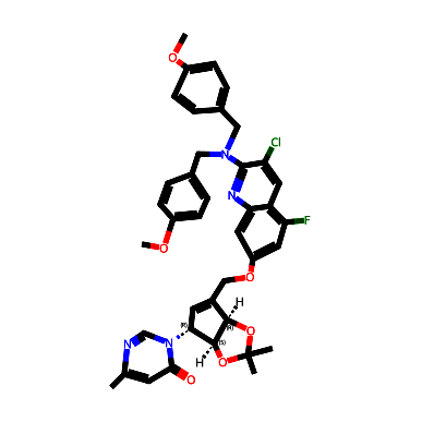 COc1ccc(CN(Cc2ccc(OC)cc2)c2nc3cc(OCC4=C[C@@H](n5cnc(C)cc5=O)[C@@H]5OC(C)(C)O[C@H]45)cc(F)c3cc2Cl)cc1